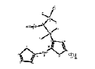 CCCCCCCC([Si](C)(C)Cl)[Si](C)(C)C1=[C]([Zr+2][C]2=CC=CC2)CC=C1.[Cl-].[Cl-]